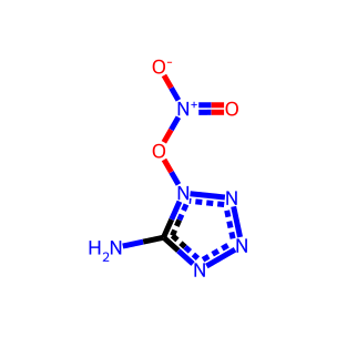 Nc1nnnn1O[N+](=O)[O-]